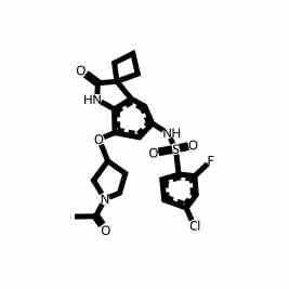 CC(=O)N1CCC(Oc2cc(NS(=O)(=O)c3ccc(Cl)cc3F)cc3c2NC(=O)C32CCC2)C1